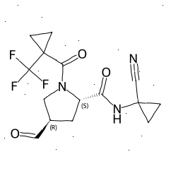 N#CC1(NC(=O)[C@@H]2C[C@@H](C=O)CN2C(=O)C2(C(F)(F)F)CC2)CC1